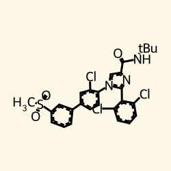 CC(C)(C)NC(=O)c1cn(-c2ccc(-c3cccc(S(C)(=O)=O)c3)cc2Cl)c(-c2c(Cl)cccc2Cl)n1